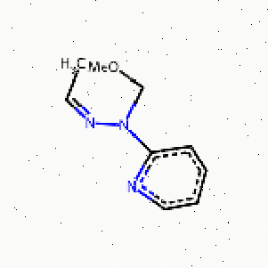 C/C=N\N(COC)c1ccccn1